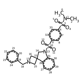 CN(C)S(=O)(=O)c1ccc(S(=O)(=O)N2CC3(CN(Cc4ccccc4)C3)c3ccccc32)cc1